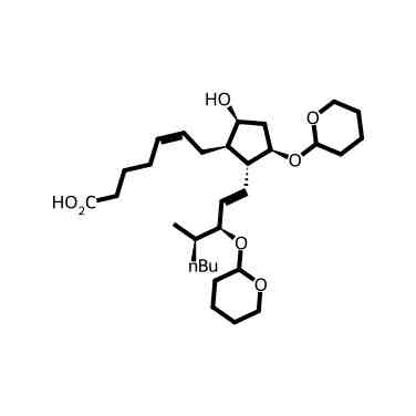 CCCC[C@@H](C)[C@@H](/C=C/[C@@H]1[C@@H](C/C=C\CCCC(=O)O)[C@@H](O)C[C@H]1OC1CCCCO1)OC1CCCCO1